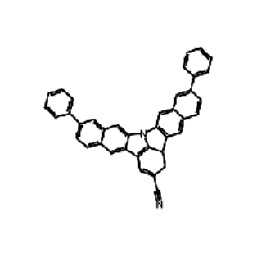 N#CC1=Cc2c3n(c4cc5cc(-c6ccccc6)ccc5cc24)-c2cc4cc(-c5ccccc5)ccc4cc2C3C1